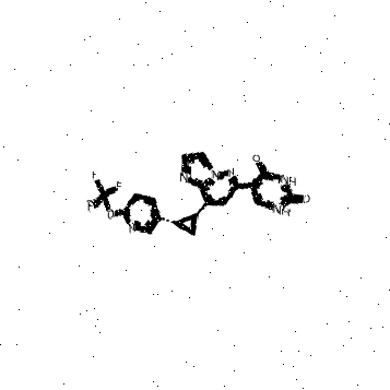 O=c1[nH]cc(-c2cc([C@H]3C[C@@H]3c3ccc(OC(F)(F)F)nc3)c3nccn3n2)c(=O)[nH]1